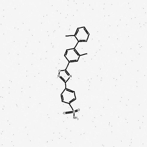 Cc1ccccc1-c1ccc(-c2nc(-c3ccc(S(N)(=O)=O)cc3)no2)cc1C